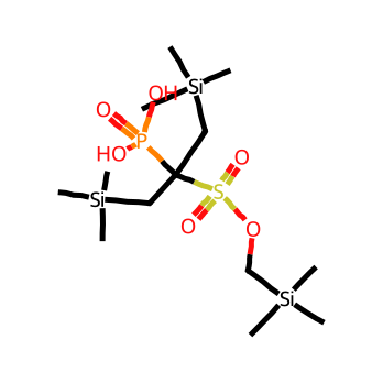 C[Si](C)(C)COS(=O)(=O)C(C[Si](C)(C)C)(C[Si](C)(C)C)P(=O)(O)O